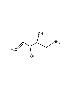 C=CC(O)C(O)CN